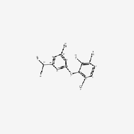 CCc1ccc(Cl)c(Oc2cc(Br)cc(C(F)F)c2)c1F